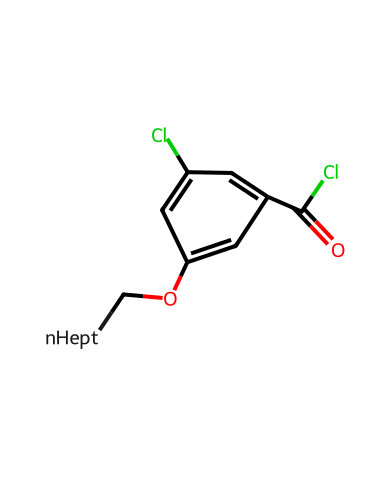 CCCCCCCCOc1cc(Cl)cc(C(=O)Cl)c1